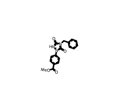 COC(=O)c1ccc(-n2[nH]c(=O)n(Cc3ccccc3)c2=O)cc1